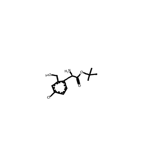 CC(C)(C)OC(=O)C(N)c1ccc(Cl)cc1CO